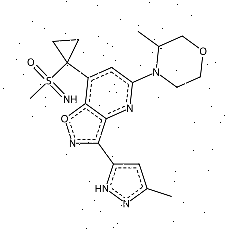 Cc1cc(-c2noc3c(C4(S(C)(=N)=O)CC4)cc(N4CCOCC4C)nc23)[nH]n1